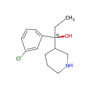 CC[C@@](O)(c1cccc(Cl)c1)C1CCCNC1